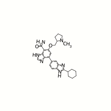 CN1CCCC1COc1cc(-c2ccc3[nH]c(C4CCCCC4)nc3c2)c2nc[nH]c2c1C(N)=O